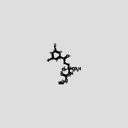 CC[C@@](CCC(=O)c1cc(F)cc(F)c1)(NC(=O)OC(C)(C)C)C(=O)O